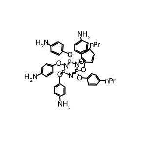 CCCc1ccc(OP2(Oc3ccc(CCC)cc3)=NP(Oc3ccc(N)cc3)N(Oc3ccc(N)cc3)P(Oc3ccc(N)cc3)N2Oc2ccc(N)cc2)cc1